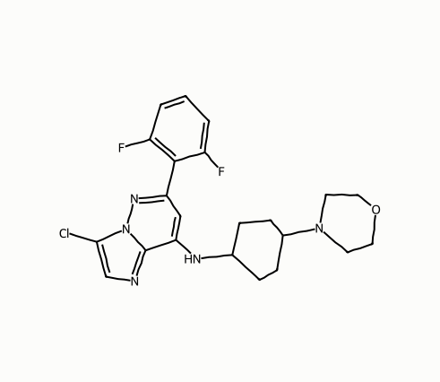 Fc1cccc(F)c1-c1cc(NC2CCC(N3CCOCC3)CC2)c2ncc(Cl)n2n1